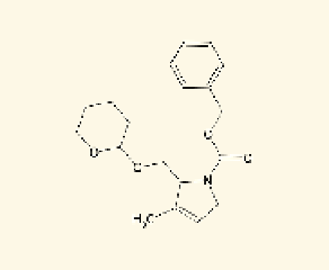 CC1=CCN(C(=O)OCc2ccccc2)C1COC1CCCCO1